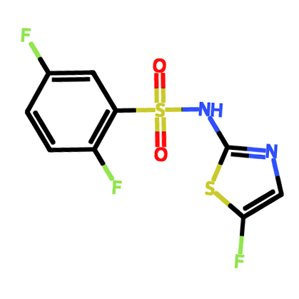 O=S(=O)(Nc1ncc(F)s1)c1cc(F)ccc1F